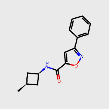 C[C@H]1C[C@@H](NC(=O)c2cc(-c3ccccc3)no2)C1